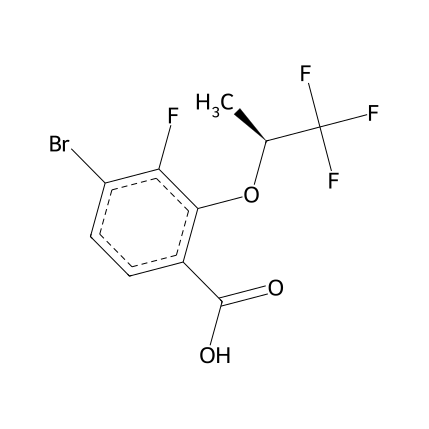 C[C@H](Oc1c(C(=O)O)ccc(Br)c1F)C(F)(F)F